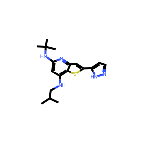 CC(C)CNc1cc(NC(C)(C)C)nc2cc(-c3ccn[nH]3)sc12